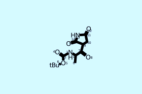 CC(NC(=O)OC(C)(C)C)C(=O)C1CC(=O)NC1=O